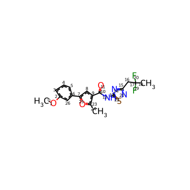 COc1cccc(-c2cc(C(=O)Nc3nc(CC(C)(F)F)ns3)c(C)o2)c1